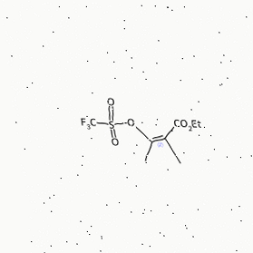 CCOC(=O)/C(C)=C(/C)OS(=O)(=O)C(F)(F)F